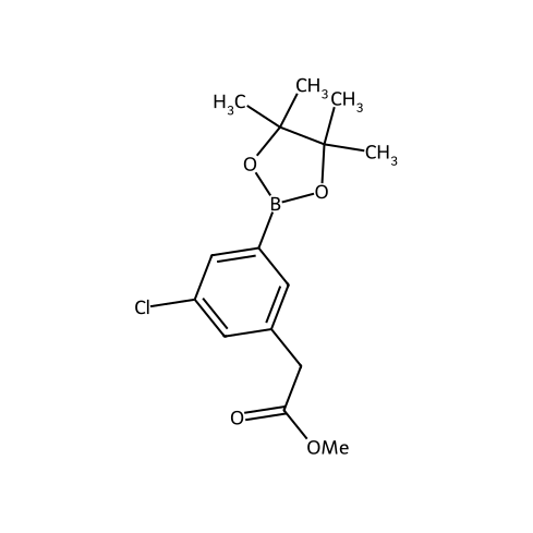 COC(=O)Cc1cc(Cl)cc(B2OC(C)(C)C(C)(C)O2)c1